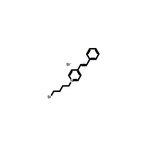 BrCCCC[n+]1ccc(/C=C/c2ccccc2)cc1.[Br-]